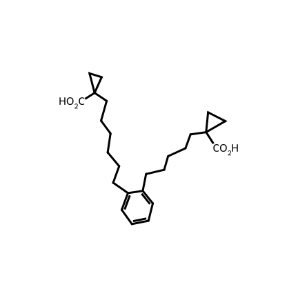 O=C(O)C1(CCCCCCc2ccccc2CCCCCC2(C(=O)O)CC2)CC1